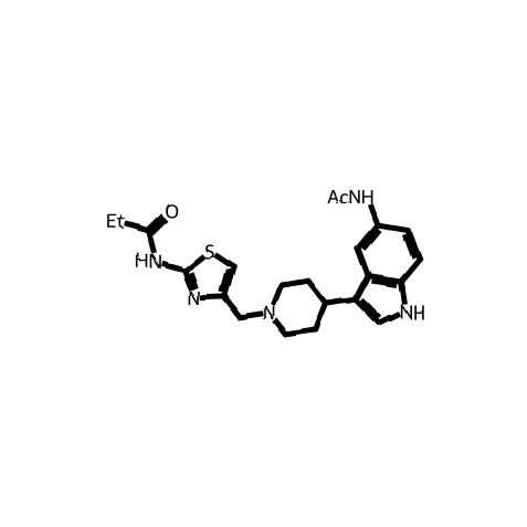 CCC(=O)Nc1nc(CN2CCC(c3c[nH]c4ccc(NC(C)=O)cc34)CC2)cs1